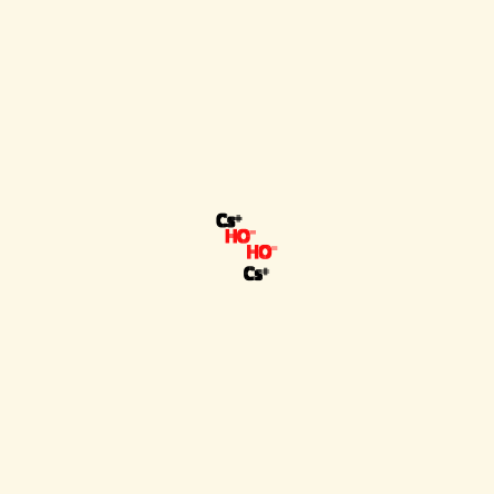 [Cs+].[Cs+].[OH-].[OH-]